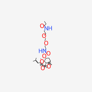 CCC(=O)NCCOCCOCCNC(=O)OC1CC[C@]2(CO2)C([C@@]2(C)O[C@@H]2CC=C(C)C)C1OC